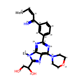 CCn1c(C(O)CO)nc2c(N3CCOCC3)nc(-c3cccc(C(=N)/C=C\NC)c3)nc21